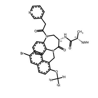 [2H]C([2H])([2H])Oc1ccc2cc(Br)ccc2c1CN1C(=O)[C@@H](NC(=O)[C@H](C)NC)CN(C(=O)Cc2cccnc2)c2ccccc21